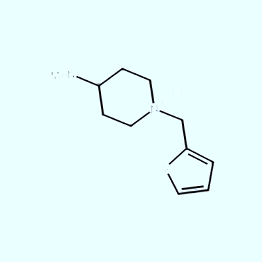 CNC1CCN(Cc2cccs2)CC1.Cl